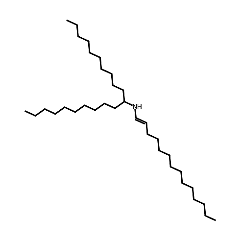 CCCCCCCCCCCCC=CNC(CCCCCCCCCC)CCCCCCCCCC